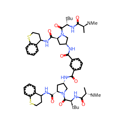 CN[C@@H](C)C(=O)N[C@H](C(=O)N1C[C@@H](NC(=O)c2cccc(C(=O)N[C@H]3C[C@@H](C(=O)NC4CCSc5ccccc54)N(C(=O)[C@@H](NC(=O)[C@H](C)NC)C(C)(C)C)C3)c2)C[C@H]1C(=O)NC1CCSc2ccccc21)C(C)(C)C